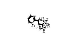 CN1CC=CN=C1C(O)CC(P(=O)(O)O)P(=O)(O)O